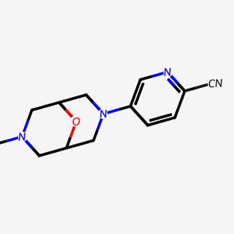 CN1CC2CN(c3ccc(C#N)nc3)CC(C1)O2